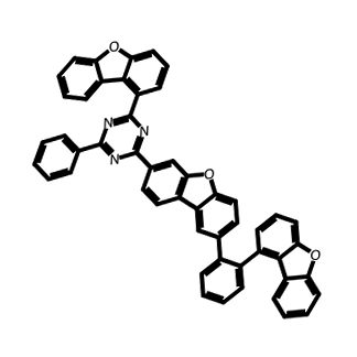 c1ccc(-c2nc(-c3ccc4c(c3)oc3ccc(-c5ccccc5-c5cccc6oc7ccccc7c56)cc34)nc(-c3cccc4oc5ccccc5c34)n2)cc1